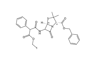 CC1(C)S[C@@H]2C(NC(=O)C(C(=O)OCI)c3ccccc3)C(=O)N2[C@H]1C(=O)OCc1ccccc1